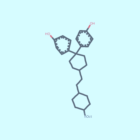 CCCCCCCCC1CCC(CCC2CCC(c3ccc(O)cc3)(c3ccc(O)cc3)CC2)CC1